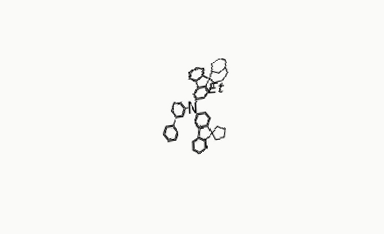 CCC1CCC2CCCC(C2)C12c1ccccc1-c1cc(N(c3cccc(-c4ccccc4)c3)c3ccc4c(c3)-c3ccccc3C43CCCC3)ccc12